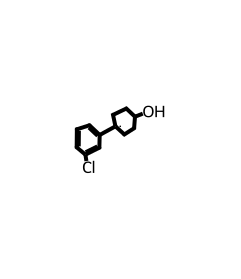 OC1CC[C](c2cccc(Cl)c2)CC1